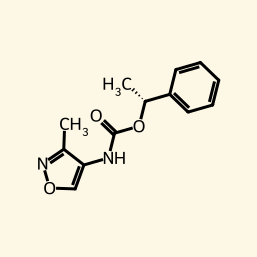 Cc1nocc1NC(=O)O[C@H](C)c1ccccc1